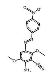 COc1cc(N=Nc2ccc([N+](=O)[O-])cc2)c(OC)c([N+]#N)c1N